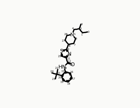 CCC(C)CN1CCC(c2nc(C(=O)Nc3ccccc3C(C)(C)C)cs2)CC1